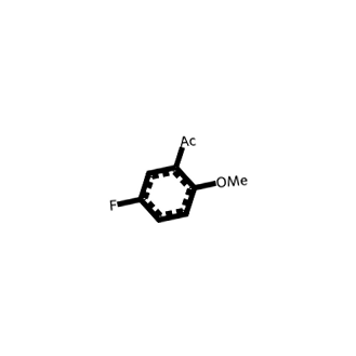 COc1ccc(F)cc1C(C)=O